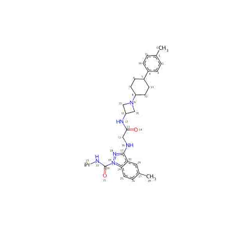 Cc1ccc(C2CCC(N3CC(NC(=O)CNc4nn(C(=O)NC(C)C)c5ccc(C)cc45)C3)CC2)cc1